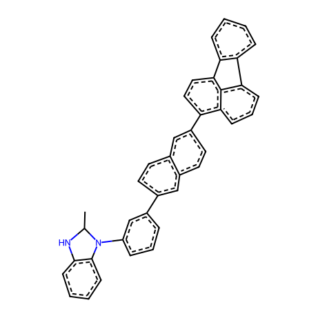 CC1Nc2ccccc2N1c1cccc(-c2ccc3cc(-c4ccc5c6c(cccc46)-c4ccccc4-5)ccc3c2)c1